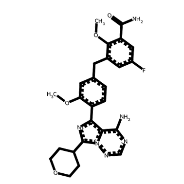 COc1cc(Cc2cc(F)cc(C(N)=O)c2OC)ccc1-c1nc(C2CCOCC2)n2ncnc(N)c12